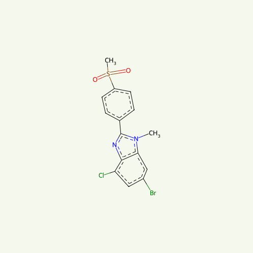 Cn1c(-c2ccc(S(C)(=O)=O)cc2)nc2c(Cl)cc(Br)cc21